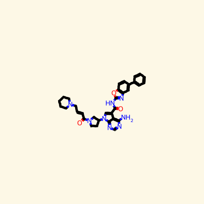 Nc1ncnc2c1c(C(=O)Nc1nc3cc(-c4ccccc4)ccc3o1)cn2C1CCN(C(=O)C=CCN2CCCCC2)C1